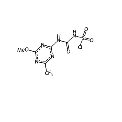 COc1nc(NC(=O)NS(=O)(=O)Cl)nc(C(F)(F)F)n1